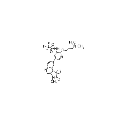 CN(C)CCCOc1ncc(-c2ccc3ncc4c(c3c2)C2(CCC2)C(=O)N4C)cc1NS(=O)(=O)C(F)(F)F